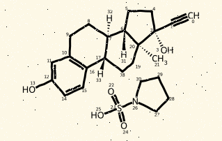 C#C[C@]1(O)CC[C@H]2[C@@H]3CCc4cc(O)ccc4[C@H]3CC[C@@]21C.O=S(=O)(O)N1CCCC1